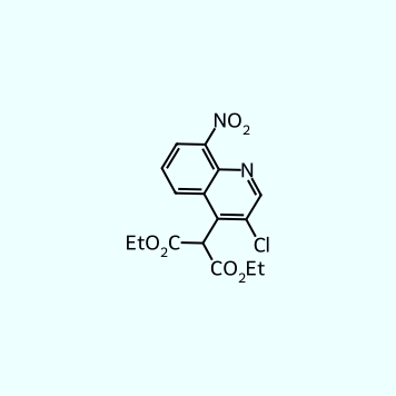 CCOC(=O)C(C(=O)OCC)c1c(Cl)cnc2c([N+](=O)[O-])cccc12